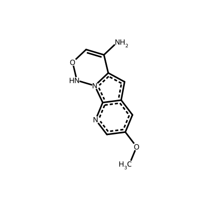 COc1cnc2c(c1)cc1n2NOC=C1N